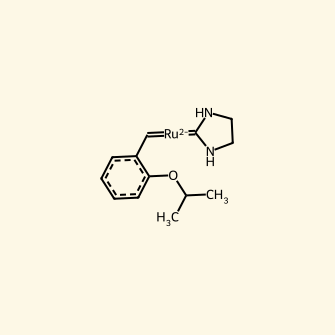 CC(C)Oc1ccccc1[CH]=[Ru-2]=[C]1NCCN1